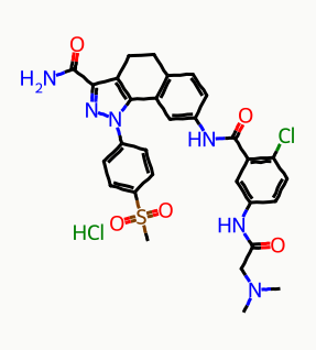 CN(C)CC(=O)Nc1ccc(Cl)c(C(=O)Nc2ccc3c(c2)-c2c(c(C(N)=O)nn2-c2ccc(S(C)(=O)=O)cc2)CC3)c1.Cl